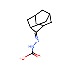 O=C(O)NN=C1C2CC3CC(C2)CC1C3